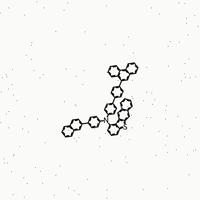 c1ccc2cc(-c3ccc(N(c4ccc(-c5ccc(-c6cc7ccccc7c7ccccc67)cc5)cc4)c4cccc5sc6cc7ccccc7cc6c45)cc3)ccc2c1